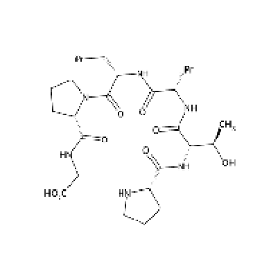 CC(C)C[C@H](NC(=O)[C@@H](NC(=O)[C@@H](NC(=O)[C@@H]1CCCN1)[C@@H](C)O)C(C)C)C(=O)N1CCC[C@H]1C(=O)NCC(=O)O